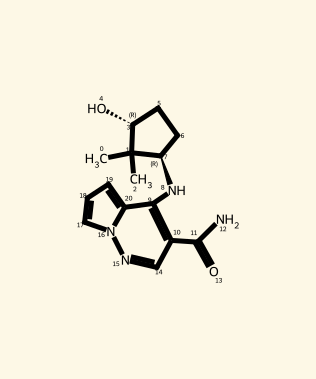 CC1(C)[C@H](O)CC[C@H]1Nc1c(C(N)=O)cnn2cccc12